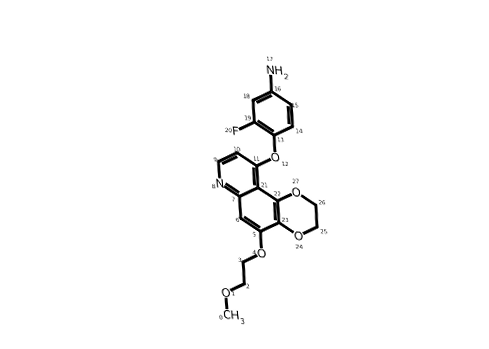 COCCOc1cc2nccc(Oc3ccc(N)cc3F)c2c2c1OCCO2